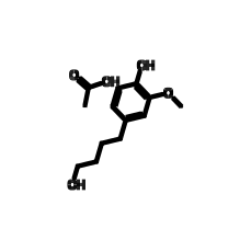 CC(=O)O.COc1cc(CCCCO)ccc1O